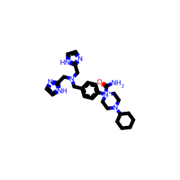 NC(=O)[N+]1(c2ccc(CN(Cc3ncc[nH]3)Cc3ncc[nH]3)cc2)CCN(C2CCCCC2)CC1